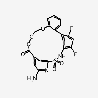 Nc1cc2cc(n1)S(=O)(=O)Nc1cc(c(F)cc1F)-c1ccccc1OCCOC2=O